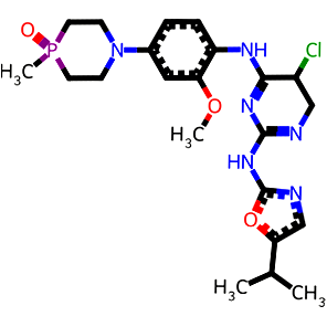 COc1cc(N2CCP(C)(=O)CC2)ccc1NC1=NC(Nc2ncc(C(C)C)o2)=NCC1Cl